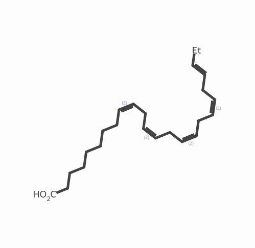 CCC=CC/C=C\C/C=C\C/C=C\C/C=C\CCCCCCCC(=O)O